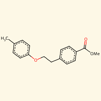 COC(=O)c1ccc(CCOc2ccc(C)cc2)cc1